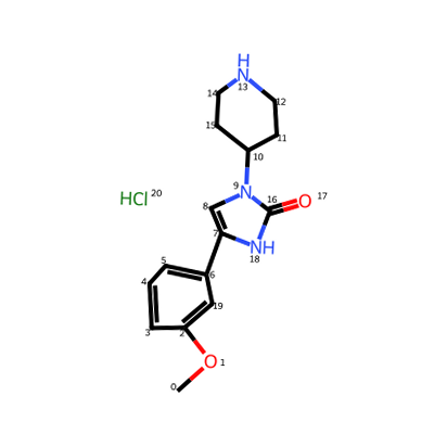 COc1cccc(-c2cn(C3CCNCC3)c(=O)[nH]2)c1.Cl